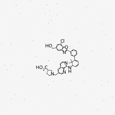 CC1(C)C(c2cccc(-c3nc4cc(CO)cc(Cl)c4o3)c2)=CC=CC1Nc1nccc2cc(CN3CC[C@@H](C(=O)O)C3)cnc12